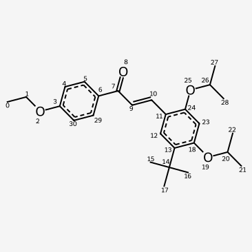 CCOc1ccc(C(=O)C=Cc2cc(C(C)(C)C)c(OC(C)C)cc2OC(C)C)cc1